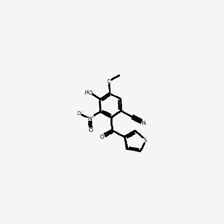 COc1cc(C#N)c(C(=O)c2ccsc2)c([N+](=O)[O-])c1O